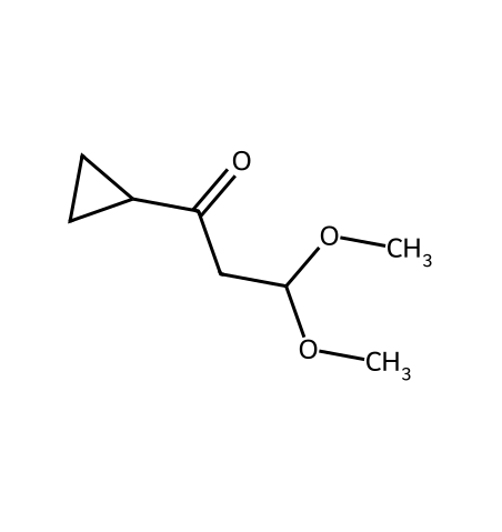 COC(CC(=O)C1CC1)OC